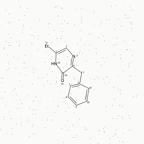 CCc1cnc(Cc2ccccc2)c(=O)[nH]1